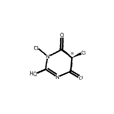 O=C1N=C(O)N(Cl)C(=O)[C@H]1Cl